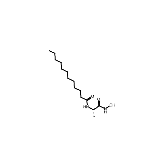 CCCCCCCCCCCC(=O)N[C@@H](C)C(=O)NO